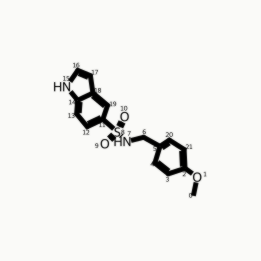 COc1ccc(CNS(=O)(=O)c2ccc3[nH]ccc3c2)cc1